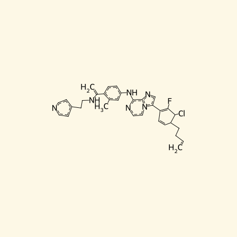 C=CCCC1C=CC(c2cnc3c(Nc4ccc(C(=C)NCCc5ccncc5)c(C)c4)nccn23)=C(F)C1Cl